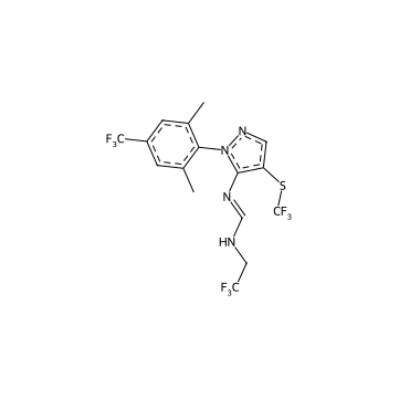 Cc1cc(C(F)(F)F)cc(C)c1-n1ncc(SC(F)(F)F)c1/N=C/NCC(F)(F)F